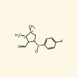 C[C@@H]1C(C=O)N([S+]([O-])c2ccc(F)cc2)C[C@@H]1C